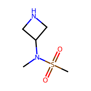 CN(C1CNC1)S(C)(=O)=O